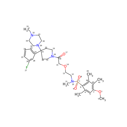 COc1cc(C)c(S(=O)(=O)N(C)CCOCC(=O)N2CCC(c3cccc(F)c3)(N3CCN(C)CC3)CC2)c(C)c1C